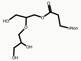 CCCCCCCCCCCC(=O)OCC(CO)OCC(O)CO